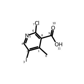 Cc1c(I)cnc(Cl)c1C(=O)O